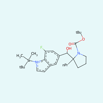 CCCC1(C(O)c2cc(F)c3c(ccn3[Si](C)(C)C(C)(C)C)c2)CCCN1C(=O)OC(C)(C)C